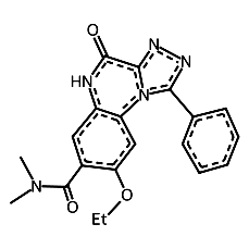 CCOc1cc2c(cc1C(=O)N(C)C)[nH]c(=O)c1nnc(-c3ccccc3)n12